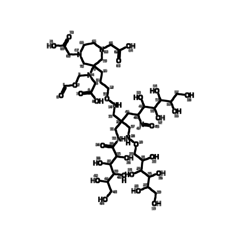 O=COCN(CC(=O)O)C1(CCCONCC(CNOCC(O)C(O)C(O)C(O)CO)(CNC(=O)C(O)C(O)C(O)C(O)CO)CC(N=O)C(O)C(O)C(O)C(O)CO)CN(CC(=O)O)CCN(CC(=O)O)C1